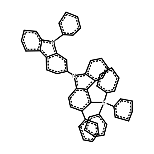 c1ccc(-c2ccc3c(c2[Si](c2ccccc2)(c2ccccc2)c2ccccc2)c2ccccc2n3-c2ccc3c4ccccc4n(-c4ccccc4)c3c2)cc1